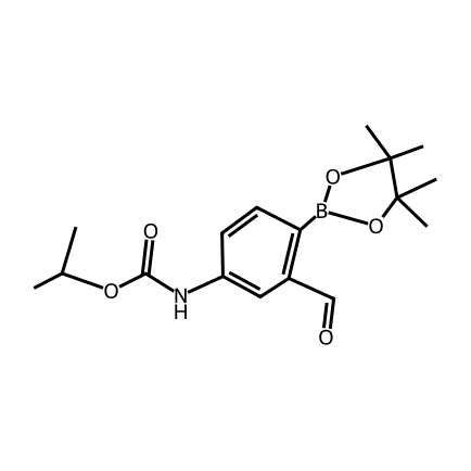 CC(C)OC(=O)Nc1ccc(B2OC(C)(C)C(C)(C)O2)c(C=O)c1